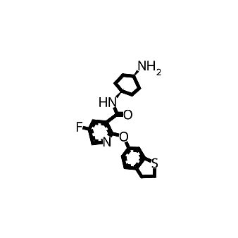 N[C@H]1CC[C@@H](NC(=O)c2cc(F)cnc2Oc2ccc3c(c2)SCC3)CC1